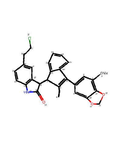 COc1cc(C2=C(C)C(C3C(=O)Nc4ccc(CCCl)cc43)c3ccccc32)cc2c1OCO2